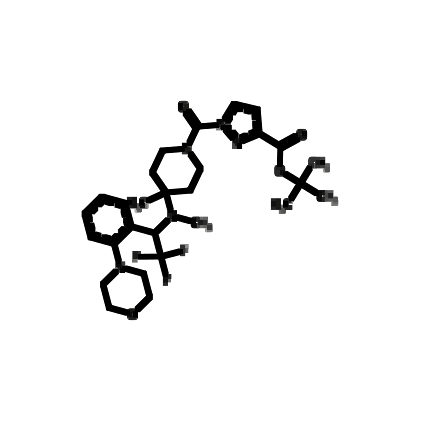 CN(C(c1ccccc1N1CCOCC1)C(F)(F)F)C1(C)CCN(C(=O)n2ccc(C(=O)OC(C)(C)C)n2)CC1